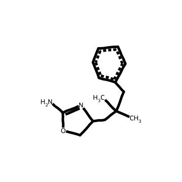 CC(C)(Cc1ccccc1)CC1COC(N)=N1